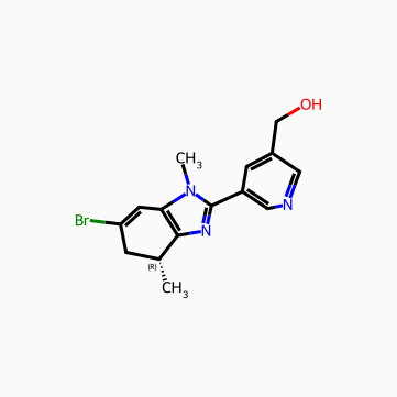 C[C@@H]1CC(Br)=Cc2c1nc(-c1cncc(CO)c1)n2C